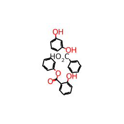 O=C(O)c1ccccc1.O=C(Oc1ccccc1)c1ccccc1O.Oc1cccc(O)c1